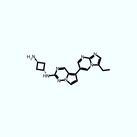 CCc1cnc2ncc(-c3ccn4nc(N[C@H]5C[C@H](N)C5)ncc34)cn12